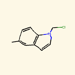 Cc1ccc2c(ccn2CCl)c1